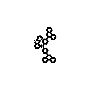 c1ccc2c(c1)cc(-c1ccc(N(c3ccc(-c4cc5ccccc5c5ccccc45)cc3)c3cccc4sc5cccnc5c34)cc1)c1ccccc12